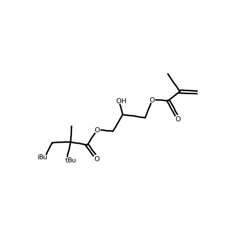 C=C(C)C(=O)OCC(O)COC(=O)C(C)(CC(C)CC)C(C)(C)C